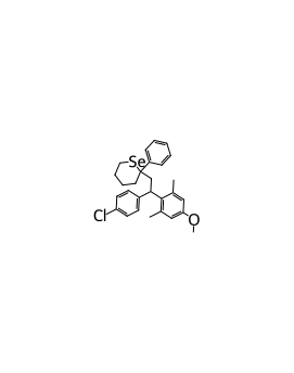 COc1cc(C)c(C(CC2(c3ccccc3)CCCC[Se]2)c2ccc(Cl)cc2)c(C)c1